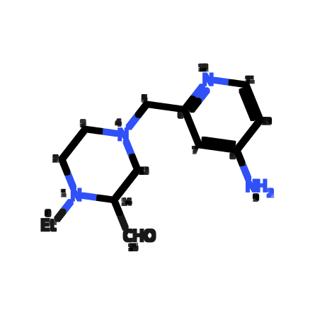 CCN1CCN(Cc2cc(N)ccn2)CC1C=O